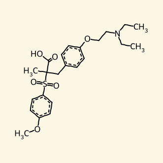 CCN(CC)CCOc1ccc(CC(C)(C(=O)O)S(=O)(=O)c2ccc(OC)cc2)cc1